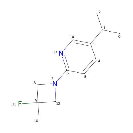 CC(C)c1ccc(N2CC(C)(F)C2)nc1